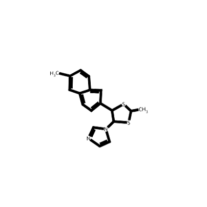 Cc1ccc2cc(C3SC(C)SC3n3ccnc3)ccc2c1